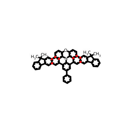 CC1(C)c2ccccc2-c2ccc(-c3ccc4c(c3)N(c3c(-c5ccccc5)cc(-c5ccccc5)cc3-c3ccccc3)c3cc(-c5ccc6c(c5)C(C)(C)c5ccccc5-6)ccc3O4)cc21